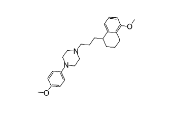 COc1ccc(N2CCN(CCCC3CCCc4c(OC)cccc43)CC2)cc1